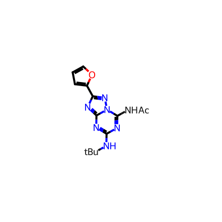 CC(=O)Nc1nc(NC(C)(C)C)nc2nc(-c3ccco3)nn12